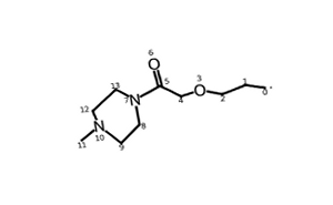 [CH2]CCOCC(=O)N1CCN(C)CC1